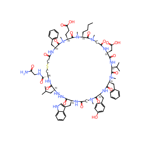 CCCC[C@H]1C(=O)N(C)CC(=O)N[C@@H](CC(=O)O)C(=O)N[C@@H](C(C)C)C(=O)N(C)[C@@H](Cc2ccccc2)C(=O)N[C@@H](Cc2ccc(O)cc2)C(=O)N(C)CC(=O)N[C@@H](Cc2c[nH]c3ccccc23)C(=O)NN[C@@H](CC(C)C)C(=O)N[C@H](C(=O)NCC(N)=O)CSCC(=O)N[C@@H](Cc2ccccc2)C(=O)N(C)[C@@H](CCC(=O)O)C(=O)N1C